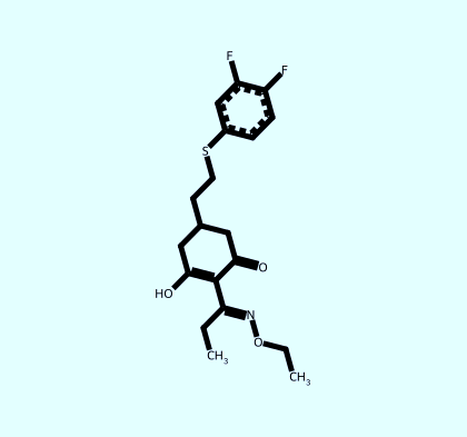 CCON=C(CC)C1=C(O)CC(CCSc2ccc(F)c(F)c2)CC1=O